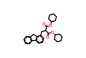 O=C(OC1CCCCC1)C(Cc1cccc2c1Cc1ccccc1-2)C(=O)OC1CCCCC1